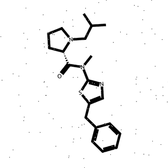 C[C](C)CN1CCC[C@H]1C(=O)N(C)c1ncc(Cc2ccccc2)s1